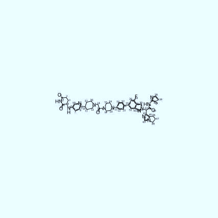 O=C1CCC(Nc2ccc(C3CCN(CC(=O)N4CCN(c5ccc(-c6cc(F)c7cn(C(C(=O)Nc8nccs8)c8ncn9c8CCC9)nc7c6)cc5)CC4)CC3)nc2)C(=O)N1